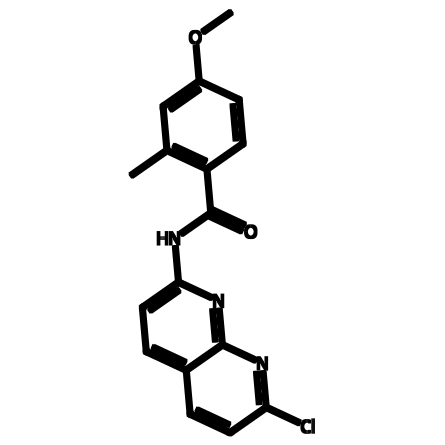 COc1ccc(C(=O)Nc2ccc3ccc(Cl)nc3n2)c(C)c1